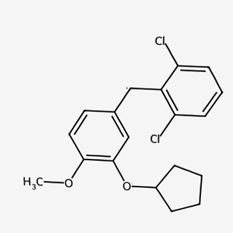 COc1ccc([CH]c2c(Cl)cccc2Cl)cc1OC1CCCC1